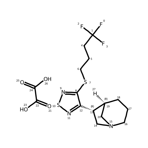 FC(F)(F)CCCSc1nsnc1[C@H]1CN2CCC[C@H]1C2.O=C(O)C(=O)O